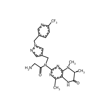 Cc1nc(N(Cc2cnn(Cc3ccc(C(F)(F)F)nc3)c2)C(=O)CN)nc2c1NC(=O)[C@H](C)N2C